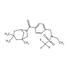 CCN(Cc1ccc(C(=O)N2CC3(C)CC2CC(C)(C)C3)cc1)S(=O)(=O)C(F)(F)F